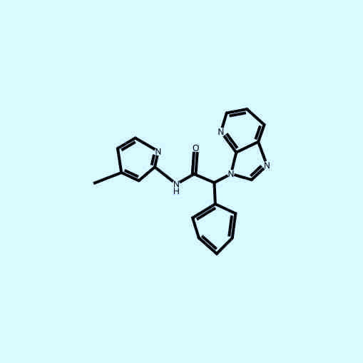 Cc1ccnc(NC(=O)C(c2ccccc2)n2cnc3cccnc32)c1